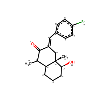 CC1C(=O)/C(=C/c2ccc(Br)cc2)C[C@@]2(C)C1CCC[C@@H]2O